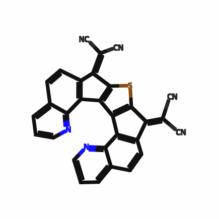 N#CC(C#N)=C1c2ccc3cccnc3c2-c2c1sc1c2-c2c(ccc3cccnc23)C1=C(C#N)C#N